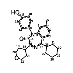 Cc1ccc2c(c1)N(c1ccc(O)cc1)C(=O)N(C1CCOCC1)N=C2C1CCCCC1